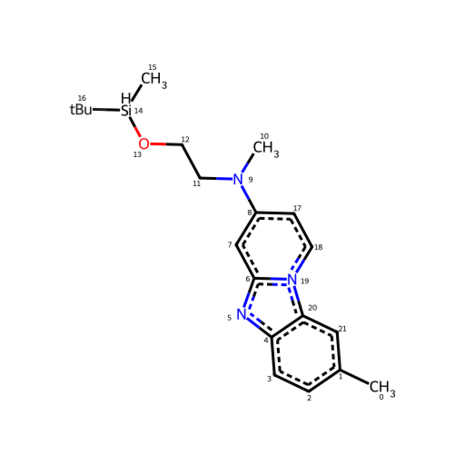 Cc1ccc2nc3cc(N(C)CCO[SiH](C)C(C)(C)C)ccn3c2c1